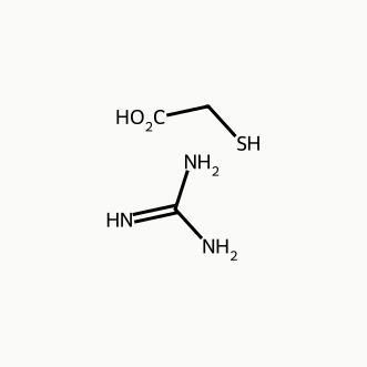 N=C(N)N.O=C(O)CS